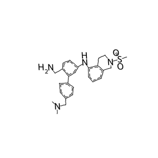 CN(C)Cc1ccc(-c2cc(Nc3cccc4c3CCN(S(C)(=O)=O)C4)ccc2CN)cc1